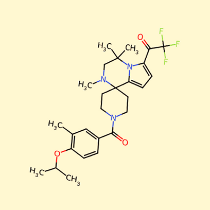 Cc1cc(C(=O)N2CCC3(CC2)c2ccc(C(=O)C(F)(F)F)n2C(C)(C)CN3C)ccc1OC(C)C